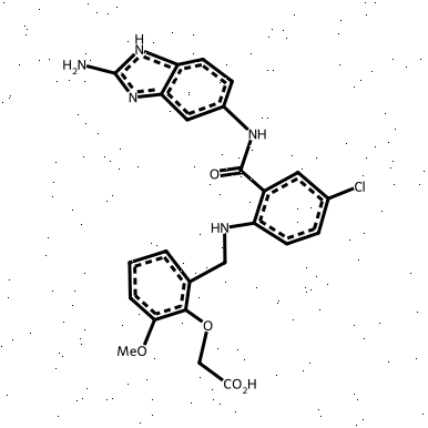 COc1cccc(CNc2ccc(Cl)cc2C(=O)Nc2ccc3[nH]c(N)nc3c2)c1OCC(=O)O